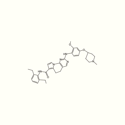 CCc1cccc(CC)c1NC(=O)c1ccn2c1CCc1cnc(Nc3ccc(OC4CCN(C)CC4)cc3OC)nc1-2